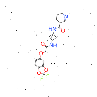 O=C(COc1ccc2c(c1)OC(F)(F)O2)NC12CC(NC(=O)C3C=NCCC3)(C1)C2